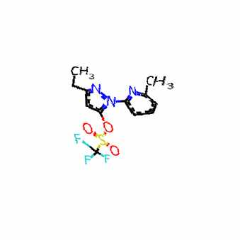 CCc1cc(OS(=O)(=O)C(F)(F)F)n(-c2cccc(C)n2)n1